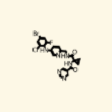 O=C(NC1(C(=O)NCc2ccc(Nc3c(F)cc(Br)cc3Cl)cn2)CC1)c1cncnc1